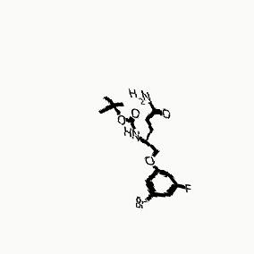 CC(C)(C)OC(=O)N[C@@H](CCC(N)=O)COc1cc(F)cc(Br)c1